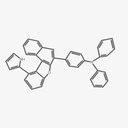 c1ccc(N(c2ccccc2)c2ccc(-c3cc4ccccc4c4c3oc3cccc(-c5ccc[nH]5)c34)cc2)cc1